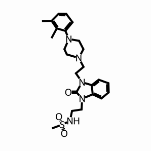 Cc1cccc(N2CCN(CCn3c(=O)n(CCNS(C)(=O)=O)c4ccccc43)CC2)c1C